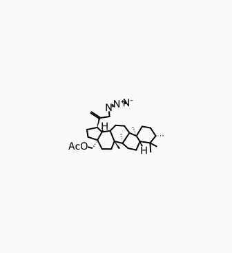 C=C(CN=[N+]=[N-])[C@@H]1CC[C@]2(COC(C)=O)CC[C@]3(C)C(CCC4[C@@]5(C)CC[C@H](C)C(C)(C)[C@@H]5CC[C@]43C)[C@@H]12